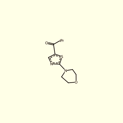 CC(C)C(=O)c1cnc(N2CCOCC2)s1